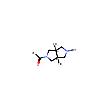 CC(C)C(=O)N1C[C@@]2(C)CN(C(C)C)C[C@@]2(C)C1